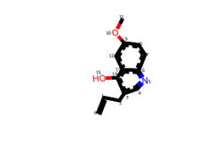 C=CCc1cnc2ccc(OC)cc2c1O